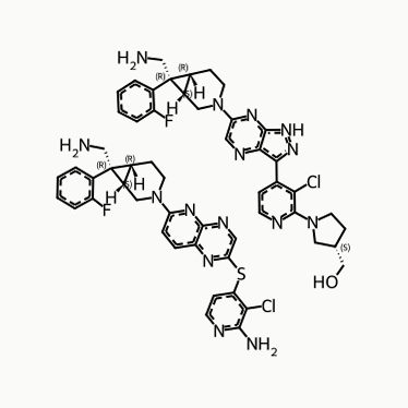 NC[C@]1(c2ccccc2F)[C@@H]2CCN(c3ccc4nc(Sc5ccnc(N)c5Cl)cnc4n3)C[C@@H]21.NC[C@]1(c2ccccc2F)[C@@H]2CCN(c3cnc4c(-c5ccnc(N6CC[C@H](CO)C6)c5Cl)n[nH]c4n3)C[C@@H]21